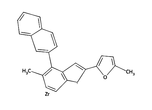 Cc1ccc(C2=Cc3c(ccc(C)c3-c3ccc4ccccc4c3)[CH]2)o1.[Zr]